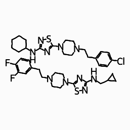 Clc1ccc(CCN2CCN(c3nc(NC4CCCCC4)ns3)CC2)cc1.Fc1ccc(CCN2CCN(c3nc(NCC4CC4)ns3)CC2)cc1F